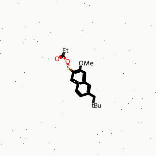 CCC(=O)OSc1cc2ccc(CC(C)(C)C)cc2cc1OC